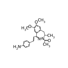 COc1cc2c(cc1OC)C(C=Cc1ccc(N)cc1)=NN(C(C)=O)C(C)C2